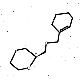 C1=C(COC[C@@H]2CCCCO2)CCCC1